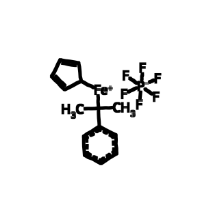 C[C](C)([Fe+][CH]1C=CC=C1)c1ccccc1.F[P-](F)(F)(F)(F)F